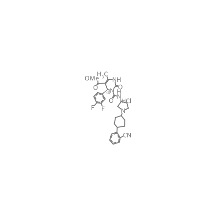 COC(=O)C1=C(C)NC(=O)N(C(=O)N[C@@H]2CCN(C3CCC(c4ccccc4C#N)CC3)C2)[C@H]1c1ccc(F)c(F)c1.Cl